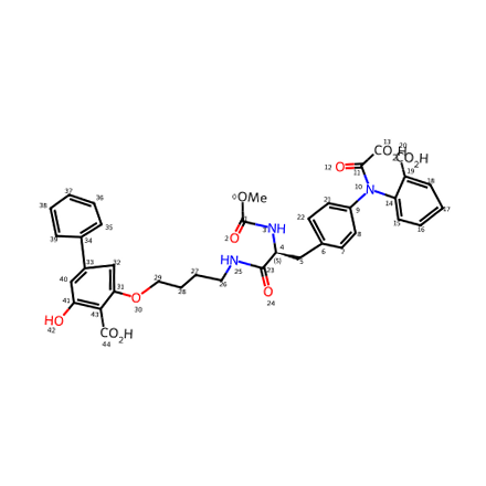 COC(=O)N[C@@H](Cc1ccc(N(C(=O)C(=O)O)c2ccccc2C(=O)O)cc1)C(=O)NCCCCOc1cc(-c2ccccc2)cc(O)c1C(=O)O